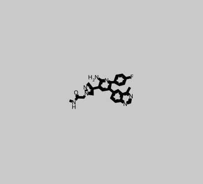 CNC(=O)Cn1cc(-c2cc(-c3ccc4ncnc(C)c4c3)c(-c3ccc(F)cc3)nc2N)cn1